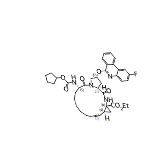 CCOC(=O)[C@@]12C[C@H]1/C=C\CCCCC[C@H](NC(=O)OC1CCCC1)C(=O)N1C[C@H](Oc3nc4ccc(F)cc4c4ccccc34)C[C@H]1C(=O)N2